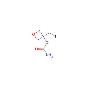 NC(=O)OC1(CI)COC1